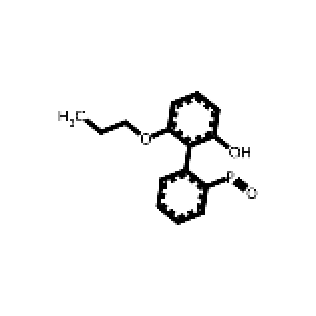 CCCOc1cccc(O)c1-c1ccccc1P=O